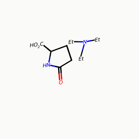 CCN(CC)CC.O=C1CCC(C(=O)O)N1